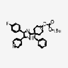 CC(C)(C)OC(=O)ON1CCC(Cc2ccccc2)(c2nc(-c3ccc(F)cc3)c(-c3ccncc3)[nH]2)CC1